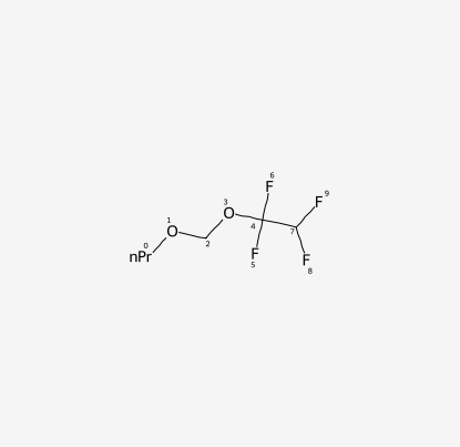 CCCOCOC(F)(F)C(F)F